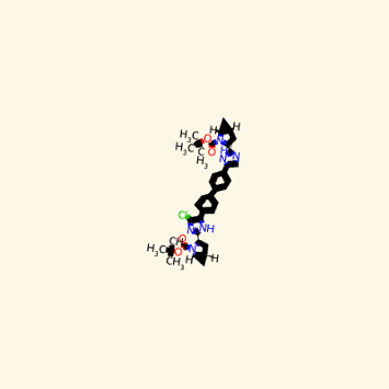 CC(C)(C)OC(=O)N1[C@@H]2C[C@@H]2C[C@H]1c1ncc(-c2ccc(-c3ccc(-c4[nH]c([C@@H]5C[C@H]6C[C@H]6N5C(=O)OC(C)(C)C)nc4Cl)cc3)cc2)[nH]1